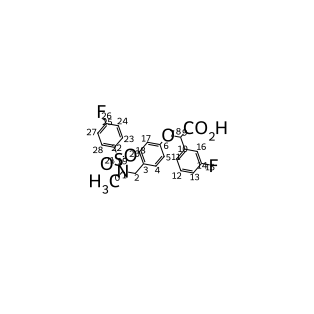 CN(Cc1ccc(OC(C(=O)O)c2cccc(F)c2)cc1)S(=O)(=O)c1ccc(F)cc1